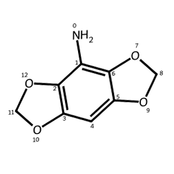 Nc1c2c(cc3c1OCO3)OCO2